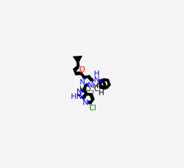 O=C(O)[C@H]1C2CCC(CC2)[C@@H]1Nc1cc(-c2ccc(C3CC3)o2)nc(-c2n[nH]c3nc(Cl)ccc23)n1